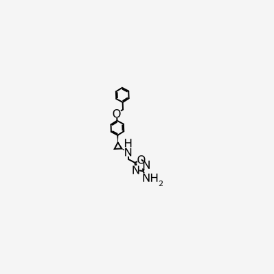 Nc1noc(CN[C@@H]2C[C@H]2c2ccc(OCc3ccccc3)cc2)n1